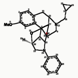 COc1ccc2c(c1)C13CCN(CC4CC4)C(C2)C12CCC1C3[C@@H](CN1c1ccccc1)O2